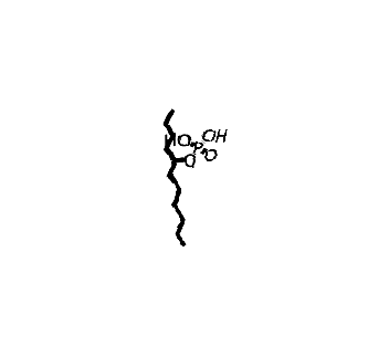 CCCCCCC(CCCC)OP(=O)(O)O